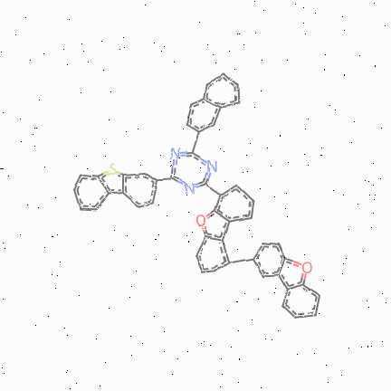 c1ccc2cc(-c3nc(-c4ccc5c(c4)sc4ccccc45)nc(-c4cccc5c4oc4cccc(-c6ccc7oc8ccccc8c7c6)c45)n3)ccc2c1